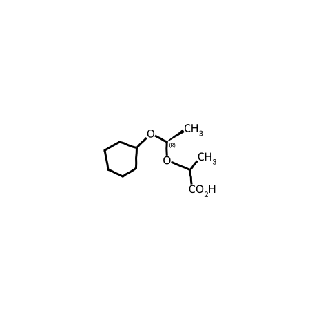 CC(O[C@H](C)OC1CCCCC1)C(=O)O